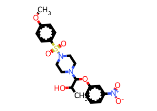 COc1ccc(S(=O)(=O)N2CCN(C(Oc3cccc([N+](=O)[O-])c3)C(C)O)CC2)cc1